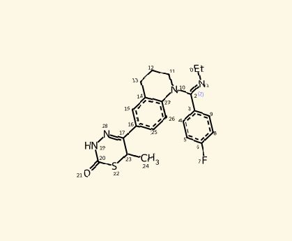 CC/N=C(/c1ccc(F)cc1)N1CCCc2cc(C3=NNC(=O)SC3C)ccc21